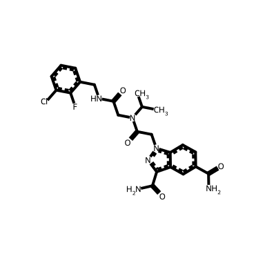 CC(C)N(CC(=O)NCc1cccc(Cl)c1F)C(=O)Cn1nc(C(N)=O)c2cc(C(N)=O)ccc21